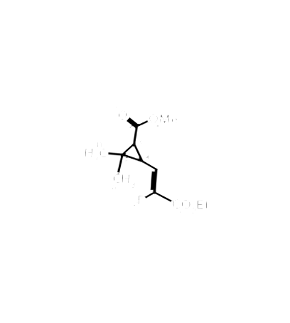 CCOC(=O)C(F)=CC1C(C(=O)OC)C1(C)C